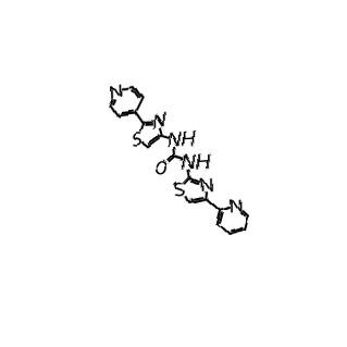 O=C(Nc1csc(-c2ccncc2)n1)Nc1nc(-c2ccccn2)cs1